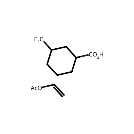 C=COC(C)=O.O=C(O)C1CCCC(C(F)(F)F)C1